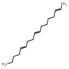 C/C=C/CCCC/C=C/CC/C=C/CCCC